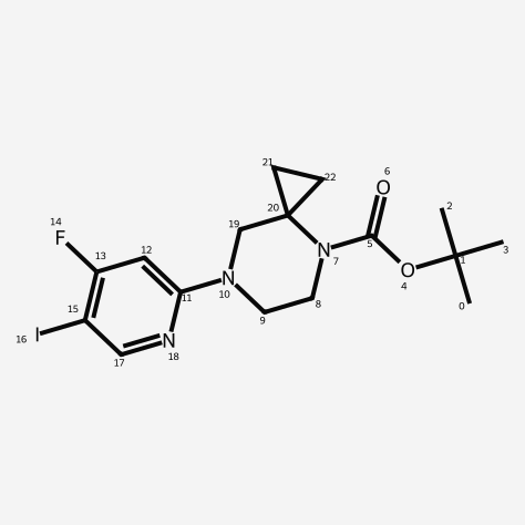 CC(C)(C)OC(=O)N1CCN(c2cc(F)c(I)cn2)CC12CC2